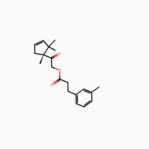 Cc1cccc(CCC(=O)OCC(=O)[C@]2(C)CC=CC2(C)C)c1